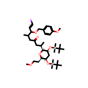 COCC[C@H]1O[C@@H](C(C)CC(=O)CC(C)C(/C=C/I)OCc2ccc(OC)cc2)[C@@H](O[Si](C)(C)C(C)(C)C)C[C@H]1O[Si](C)(C)C(C)(C)C